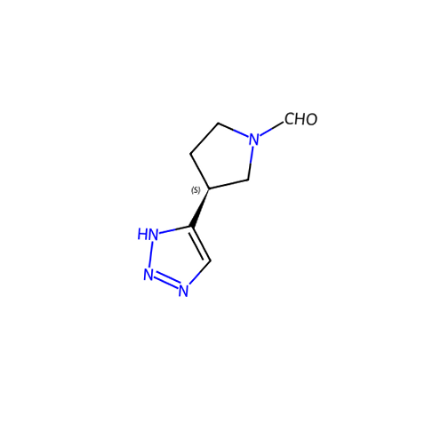 O=CN1CC[C@H](c2cnn[nH]2)C1